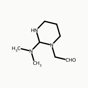 CN(C)C1NCCCN1CC=O